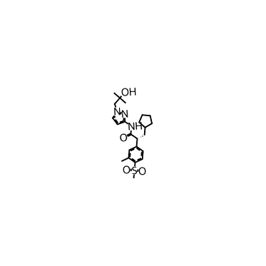 Cc1cc([C@@H](CC2CCCC2)C(=O)Nc2ccn(CC(C)(C)O)n2)ccc1S(C)(=O)=O